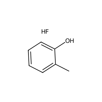 Cc1ccccc1O.F